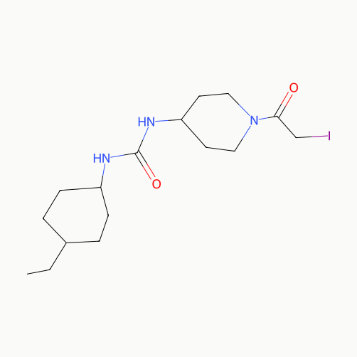 CCC1CCC(NC(=O)NC2CCN(C(=O)CI)CC2)CC1